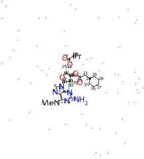 CNc1nc(N)nc2c1ncn2[C@@H]1O[C@H](COC(=O)C(C)C)[C@@H](OC(=O)CC2CCCCC2)[C@@]1(C)F